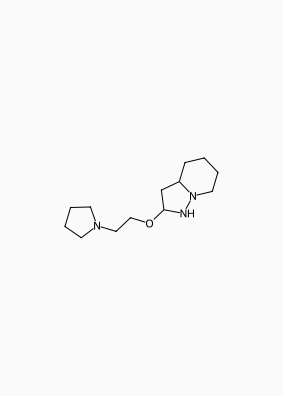 C1CCN2NC(OCCN3CCCC3)CC2C1